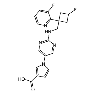 O=C(O)c1ccn(-c2cnc(NCC3(c4ncccc4F)CC(F)C3)nc2)c1